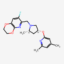 Cc1cc(C)nc(O[C@@H]2C[C@H](C)N(Cc3nc4c(cc3F)OCCO4)C2)c1